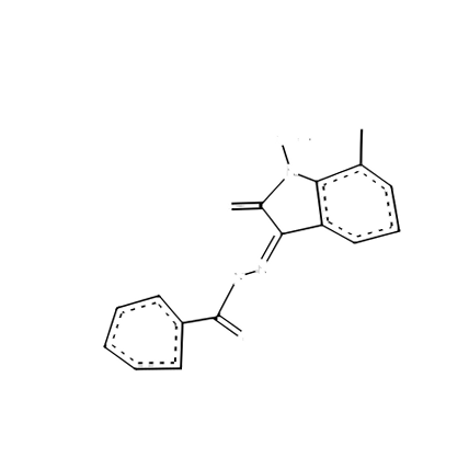 CCCCCCN1C(=O)/C(=N\NC(=O)c2ccccc2)c2cccc(C)c21